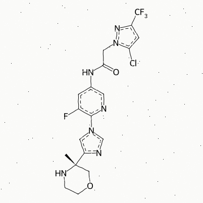 C[C@@]1(c2cn(-c3ncc(NC(=O)Cn4nc(C(F)(F)F)cc4Cl)cc3F)cn2)COCCN1